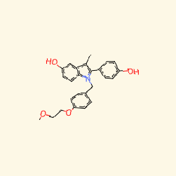 COCCOc1ccc(Cn2c(-c3ccc(O)cc3)c(C)c3cc(O)ccc32)cc1